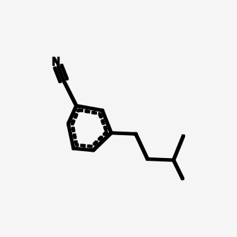 CC(C)CCc1cccc(C#N)c1